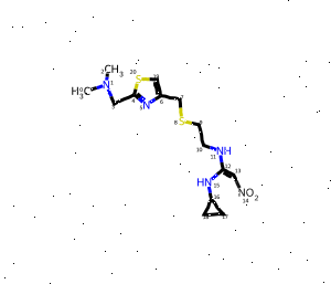 CN(C)Cc1nc(CSCCNC(=C[N+](=O)[O-])NC2CC2)cs1